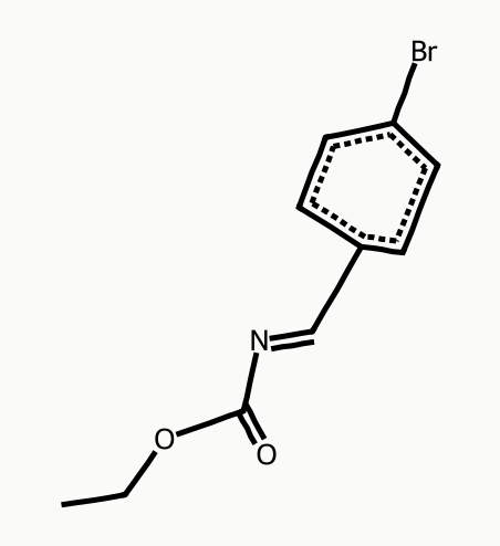 CCOC(=O)/N=C/c1ccc(Br)cc1